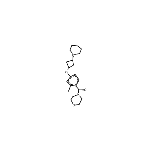 O=C(c1ccc(O[C@H]2C[C@H](N3CCCCC3)C2)cc1F)N1CCOCC1